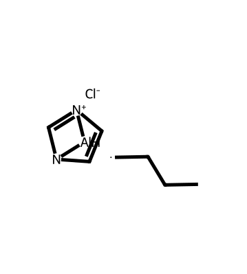 [CH2]CCC.[Cl-].c1c[n+]2c[n]1[AlH]2